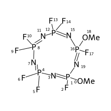 COP1(F)=NP(F)(F)=NP(F)(F)=NP(F)(F)=NP(F)(OC)=N1